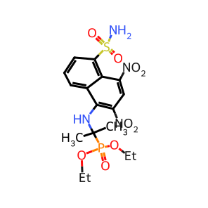 CCOP(=O)(OCC)C(C)(C)Nc1c([N+](=O)[O-])cc([N+](=O)[O-])c2c(S(N)(=O)=O)cccc12